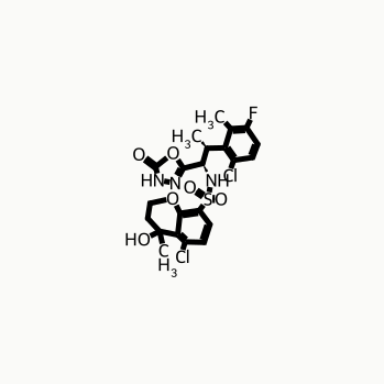 Cc1c(F)ccc(Cl)c1[C@@H](C)[C@H](NS(=O)(=O)c1ccc(Cl)c2c1OCCC2(C)O)c1n[nH]c(=O)o1